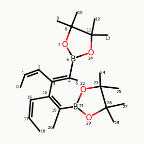 C\C=C/C(=C(/C)B1OC(C)(C)C(C)(C)O1)C(/C=C\C)=C(/C)B1OC(C)(C)C(C)(C)O1